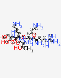 C[C@@H](O)[C@H](NC(=O)[C@H](CCCCN)NC(=O)[C@@H](N)CCCNC(=N)N)C(=O)N[C@@H](CCCCN)C(=O)N[C@@H](CO)C(=O)O